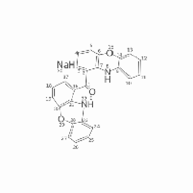 O=C(c1cccc2c1Nc1ccccc1O2)c1cccc2c1Nc1ccccc1O2.[NaH]